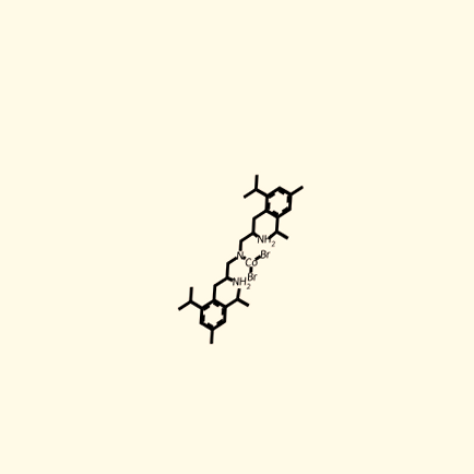 Cc1cc(C(C)C)c(CC(N)C[N](CC(N)Cc2c(C(C)C)cc(C)cc2C(C)C)[Co]([Br])[Br])c(C(C)C)c1